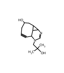 CC(C)(O)CN1C=NC2C3CC(O)CC#CC1C32